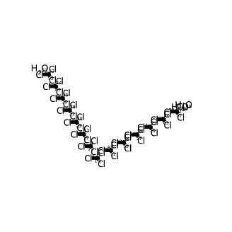 ClC(Cl)Cl.ClC(Cl)Cl.ClC(Cl)Cl.ClC(Cl)Cl.ClC(Cl)Cl.ClC(Cl)Cl.ClC(Cl)Cl.ClC(Cl)Cl.ClC(Cl)Cl.ClC(Cl)Cl.ClC(Cl)Cl.ClC(Cl)Cl.ClC(Cl)Cl.ClC(Cl)Cl.O.O.O